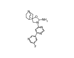 NC1OC2(CN3CCC2CC3)CN1c1cc(-c2cncc(F)c2)ncn1